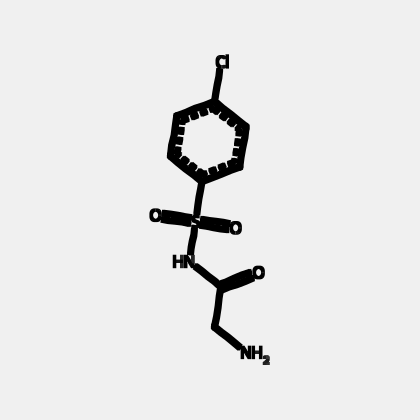 NCC(=O)NS(=O)(=O)c1ccc(Cl)cc1